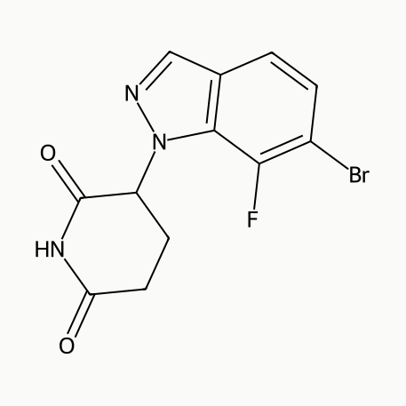 O=C1CCC(n2ncc3ccc(Br)c(F)c32)C(=O)N1